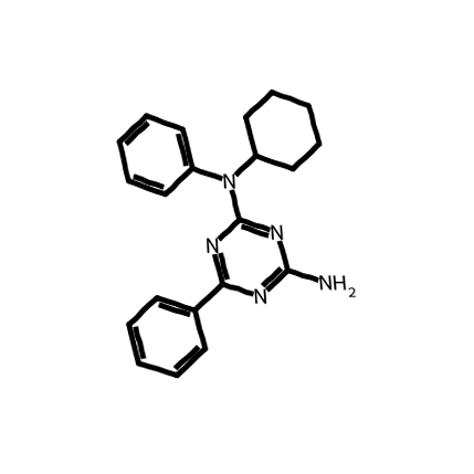 Nc1nc(-c2ccccc2)nc(N(c2ccccc2)C2CCCCC2)n1